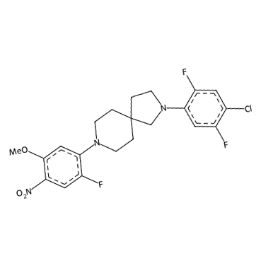 COc1cc(N2CCC3(CC2)CCN(c2cc(F)c(Cl)cc2F)C3)c(F)cc1[N+](=O)[O-]